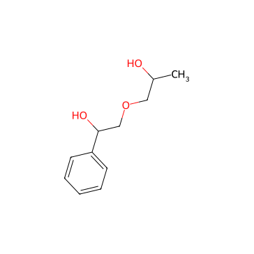 CC(O)COCC(O)c1ccccc1